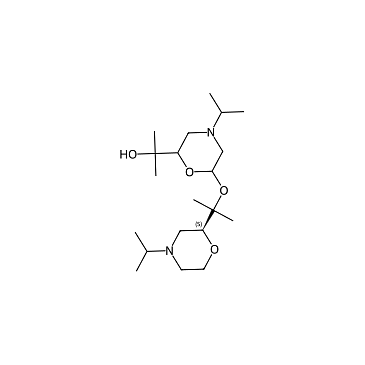 CC(C)N1CC(OC(C)(C)[C@@H]2CN(C(C)C)CCO2)OC(C(C)(C)O)C1